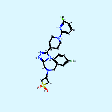 O=S1(=O)CC(N2Cc3cc(Cl)ccc3-n3c(nnc3C3CCN(c4cccc(F)n4)CC3)C2)C1